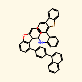 C1=CC(Nc2ccccc2-c2cccc3c2sc2ccccc23)C2C(=C1)Oc1cccc(-c3ccc(-c4cccc5ccccc45)cc3)c12